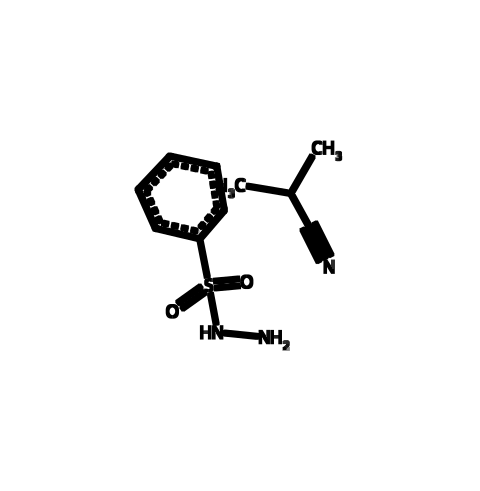 CC(C)C#N.NNS(=O)(=O)c1ccccc1